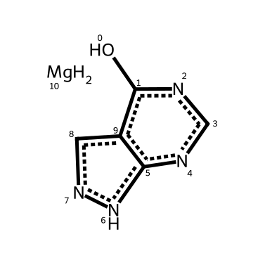 Oc1ncnc2[nH]ncc12.[MgH2]